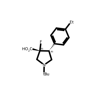 CCc1ccc([C@@H]2CN(C(C)(C)C)C[C@@]2(F)C(=O)O)cc1